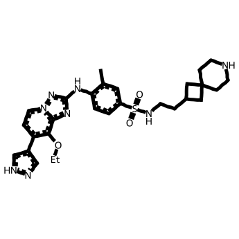 CCOc1c(-c2cn[nH]c2)ccn2nc(Nc3ccc(S(=O)(=O)NCCC4CC5(CCNCC5)C4)cc3C)nc12